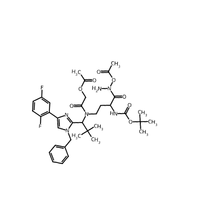 CC(=O)OCC(=O)N(CCC(NC(=O)OC(C)(C)C)C(=O)N(N)OC(C)=O)C(c1nc(-c2cc(F)ccc2F)cn1Cc1ccccc1)C(C)(C)C